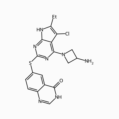 CCc1[nH]c2nc(Sc3ccc4nc[nH]c(=O)c4c3)nc(N3CC(N)C3)c2c1Cl